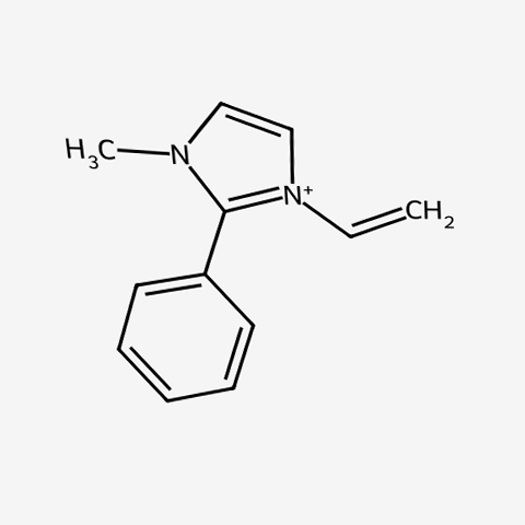 C=C[n+]1ccn(C)c1-c1ccccc1